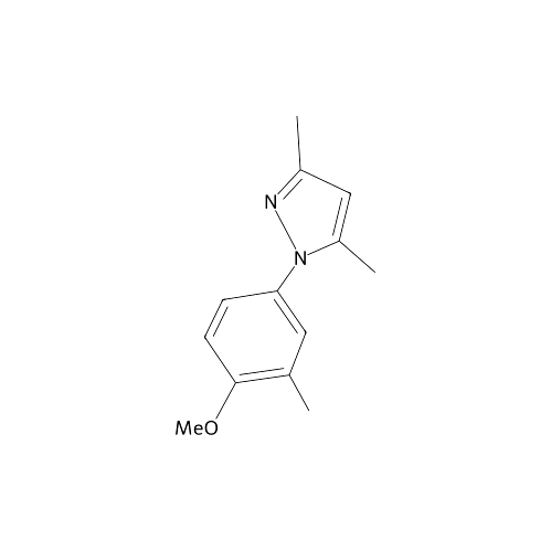 COc1ccc(-n2nc(C)cc2C)cc1C